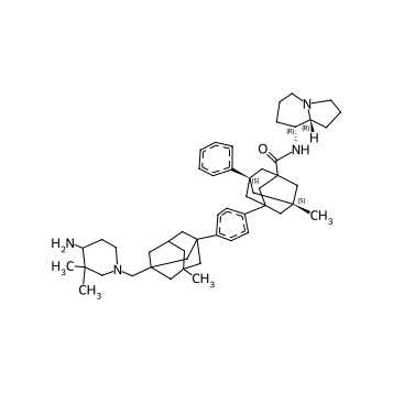 CC12CC3CC(CN4CCC(N)C(C)(C)C4)(C1)CC(c1ccc(C45CC6(C(=O)N[C@@H]7CCCN8CCC[C@H]78)C[C@](C)(C4)C[C@@](c4ccccc4)(C6)C5)cc1)(C3)C2